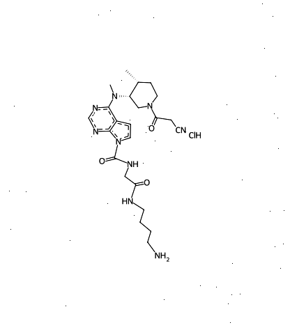 C[C@@H]1CCN(C(=O)CC#N)C[C@@H]1N(C)c1ncnc2c1ccn2C(=O)NCC(=O)NCCCCN.Cl